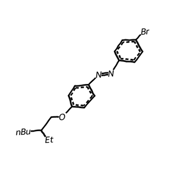 CCCCC(CC)COc1ccc(N=Nc2ccc(Br)cc2)cc1